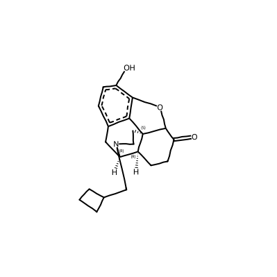 O=C1CC[C@H]2[C@H]3Cc4ccc(O)c5c4[C@@]2(CCN3CC2CCC2)C1O5